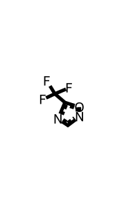 FC(F)(F)c1ncno1